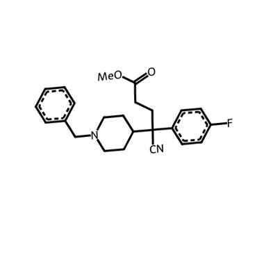 COC(=O)CCC(C#N)(c1ccc(F)cc1)C1CCN(Cc2ccccc2)CC1